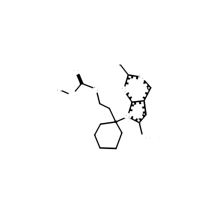 CC(C)(C)OC(=O)NCCC1(n2c(C(=O)O)cc3cnc(Cl)nc32)CCCCC1